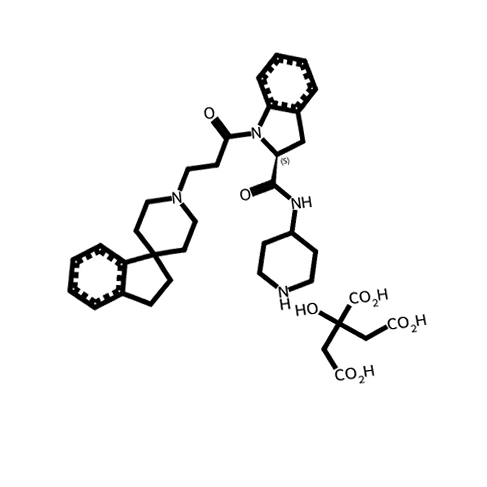 O=C(NC1CCNCC1)[C@@H]1Cc2ccccc2N1C(=O)CCN1CCC2(CCc3ccccc32)CC1.O=C(O)CC(O)(CC(=O)O)C(=O)O